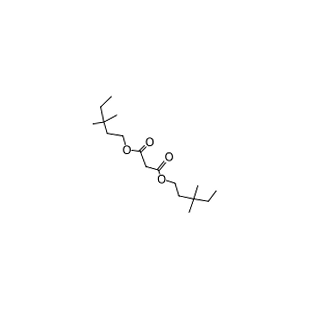 CCC(C)(C)CCOC(=O)CC(=O)OCCC(C)(C)CC